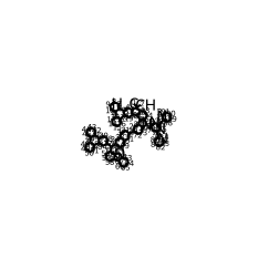 CC1(C)c2cc3c4ccccc4c4ccccc4c3cc2-c2c1ccc1c2c2cc(-c3ccc4cc(C(c5ccc6c7ccccc7c7ccccc7c6c5)c5cccc6c5oc5ccccc56)ccc4c3)ccc2n1-c1cc(-c2ccccn2)nc(-c2ccccn2)n1